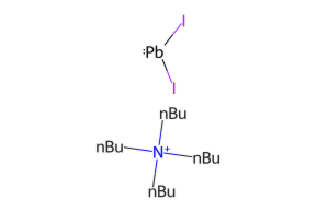 CCCC[N+](CCCC)(CCCC)CCCC.[I][Pb][I]